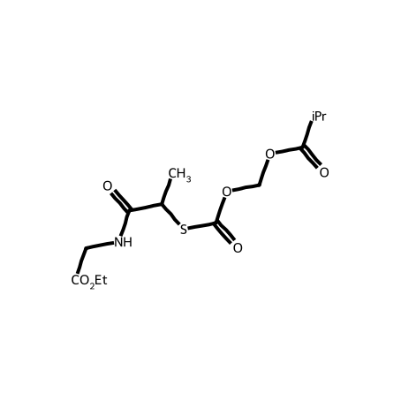 CCOC(=O)CNC(=O)C(C)SC(=O)OCOC(=O)C(C)C